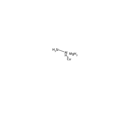 [AlH2][SiH3].[Cu].[MgH2]